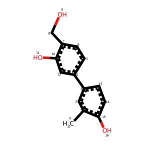 Cc1cc(-c2ccc(CO)c(O)c2)ccc1O